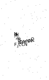 C=CC(=O)N1CCN(C2CN(c3cc(N4CCC(c5c(C)cnn5C)C(C)(C)C4)nc(C(F)(F)F)c3C#N)C2)CC1